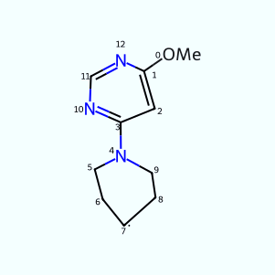 COc1cc(N2CC[CH]CC2)ncn1